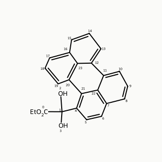 CCOC(=O)C(O)(O)c1ccc2cccc3c4cccc5cccc(c1c23)c54